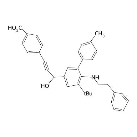 Cc1ccc(-c2cc(C(O)C#Cc3ccc(C(=O)O)cc3)cc(C(C)(C)C)c2NCCc2ccccc2)cc1